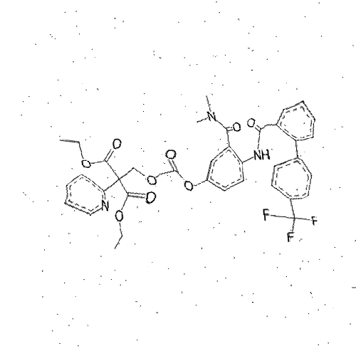 CCOC(=O)C(COC(=O)Oc1ccc(NC(=O)c2ccccc2-c2ccc(C(F)(F)F)cc2)c(C(=O)N(C)C)c1)(C(=O)OCC)c1ccccn1